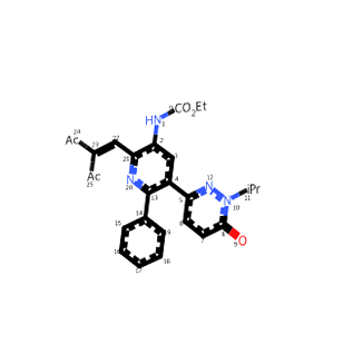 CCOC(=O)Nc1cc(-c2ccc(=O)n(C(C)C)n2)c(-c2ccccc2)nc1C=C(C(C)=O)C(C)=O